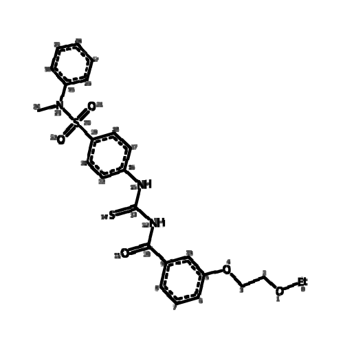 CCOCCOc1cccc(C(=O)NC(=S)Nc2ccc(S(=O)(=O)N(C)c3ccccc3)cc2)c1